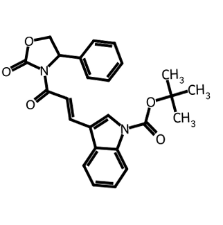 CC(C)(C)OC(=O)n1cc(C=CC(=O)N2C(=O)OCC2c2ccccc2)c2ccccc21